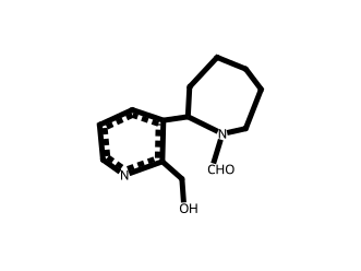 O=CN1CCCCCC1c1cccnc1CO